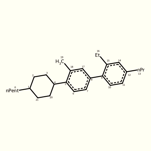 CCCCCC1CCC(c2ccc(-c3ccc(CCC)cc3CC)cc2C)CC1